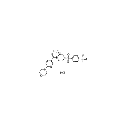 C[C@H]1CN(S(=O)(=O)c2ccc(C(F)(F)F)cc2)CCN1C(=O)c1ccc(N2CCOCC2)nc1.Cl